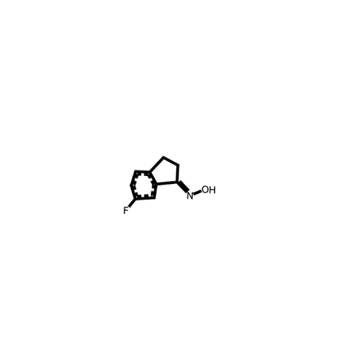 ON=C1CCc2ccc(F)cc21